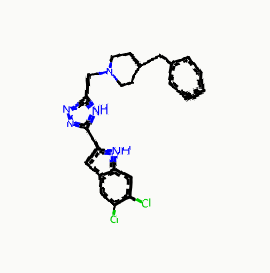 Clc1cc2cc(-c3nnc(CN4CCC(Cc5ccccc5)CC4)[nH]3)[nH]c2cc1Cl